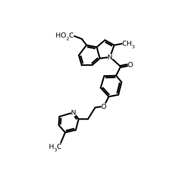 Cc1ccnc(CCOc2ccc(C(=O)n3c(C)cc4c(CC(=O)O)cccc43)cc2)c1